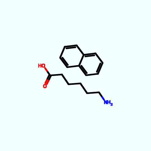 NCCCCCC(=O)O.c1ccc2ccccc2c1